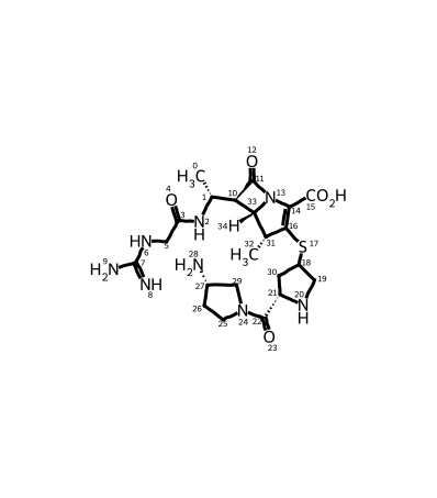 C[C@@H](NC(=O)CNC(=N)N)[C@H]1C(=O)N2C(C(=O)O)=C(SC3CN[C@H](C(=O)N4CC[C@H](N)C4)C3)[C@H](C)[C@H]12